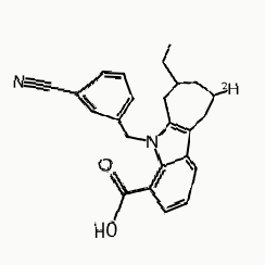 [2H]C1Cc2c(n(Cc3cccc(C#N)c3)c3c(C(=O)O)cccc23)CC(CC)C1